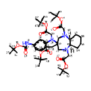 CC(C)(C)OC(=O)CN1CC(Cc2ccc(NC(=O)OC(C)(C)C)cc2)(N(CC(=O)OC(C)(C)C)CC(=O)OC(C)(C)C)CN(CC(=O)OC(C)(C)C)[C@@H]2CCCC[C@H]21